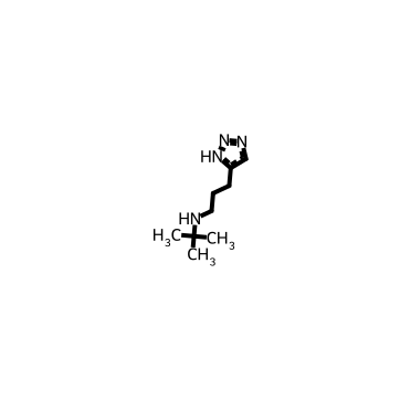 CC(C)(C)NCCCc1cnn[nH]1